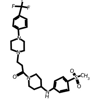 CS(=O)(=O)c1ccc(NC2CCN(C(=O)CCN3CCN(c4ccc(C(F)(F)F)cc4)CC3)CC2)cc1